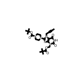 CC#CCn1c(N2CCN(C(=O)OC(C)(C)C)CC2)nc2c1c(=O)[nH]c(=O)n2COC(=O)C(C)(C)C